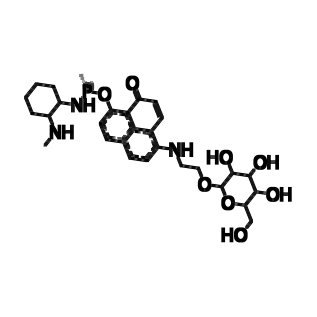 CNC1CCCCC1N[P@](C)Oc1ccc2ccc(NCCOC3OC(CO)C(O)C(O)C3O)c3c2c1C(=O)C=C3